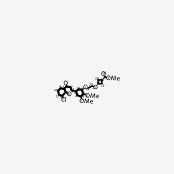 COc1cc(-c2cc(=O)c3cccc(Cl)c3o2)cc(OCCO[C@H]2C[C@H](C(=O)OC)C2)c1OC